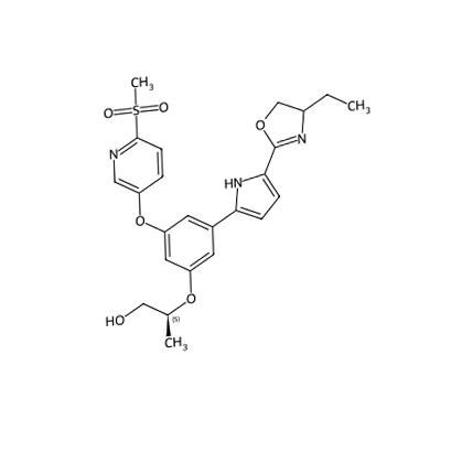 CCC1COC(c2ccc(-c3cc(Oc4ccc(S(C)(=O)=O)nc4)cc(O[C@@H](C)CO)c3)[nH]2)=N1